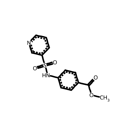 COC(=O)c1ccc(NS(=O)(=O)c2cccnc2)cc1